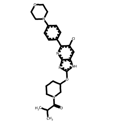 CC(C)C(=O)N1CCCC(Oc2nc3nc(-c4ccc(N5CCOCC5)cc4)c(Cl)cc3[nH]2)C1